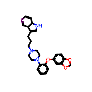 C1=CC2NC=C(CCCN3CCN(c4ccccc4Oc4ccc5c(c4)OCO5)CC3)C2C=I1